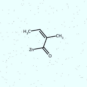 CC=C(C)[C](=O)[Zn]